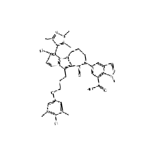 Cc1cc(OCCCc2c3n(c4c(-c5c(C)nn(C)c5C)c(Cl)ccc24)CCCN(c2cc(C(=O)O)c4c(ccn4C)c2)C3=O)cc(C)c1Cl